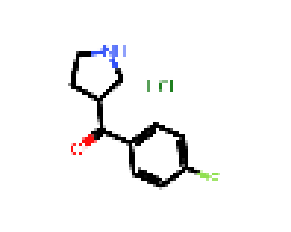 Cl.O=C(c1ccc(F)cc1)C1CCNC1